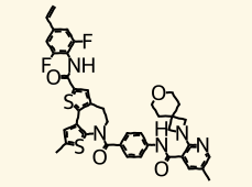 C=Cc1cc(F)c(NC(=O)c2cc3c(s2)-c2cc(C)sc2N(C(=O)c2ccc(NC(=O)c4cc(C)cnc4N4CC5(CCOCC5)C4)cc2)CC3)c(F)c1